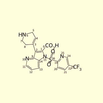 O=C(O)c1c(C2=CCNCC2)c2ncccc2n1S(=O)(=O)c1ccc(C(F)(F)F)cn1